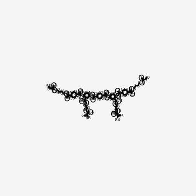 C=CC(=O)OCCCCOC(=O)C1CCC(C(=O)Oc2ccc(OC(=O)C3CCC(C(=O)Oc4ccc(OC(=O)C5CCC(C(=O)OCCCCOC(=O)C=C)CC5)c(C(=O)OCCOC(=O)C(C)C)c4)CC3)cc2C(=O)OCCOC(=O)C(C)C)CC1